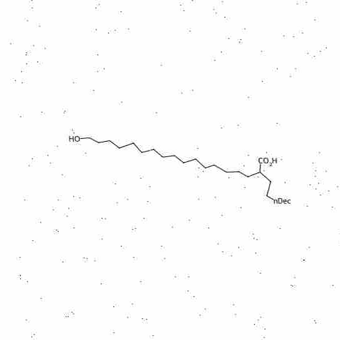 CCCCCCCCCCCCC(CCCCCCCCCCCCCCCCO)C(=O)O